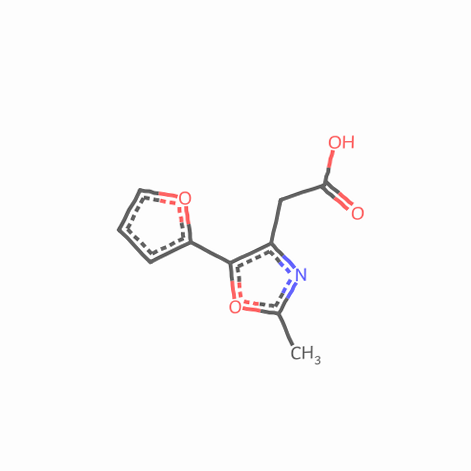 Cc1nc(CC(=O)O)c(-c2ccco2)o1